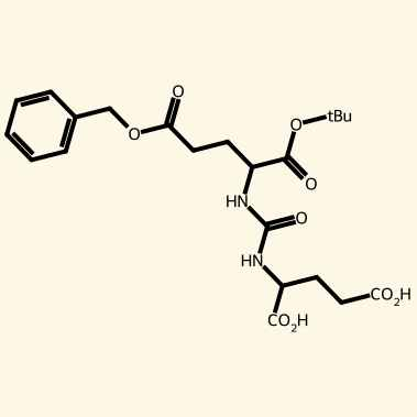 CC(C)(C)OC(=O)C(CCC(=O)OCc1ccccc1)NC(=O)NC(CCC(=O)O)C(=O)O